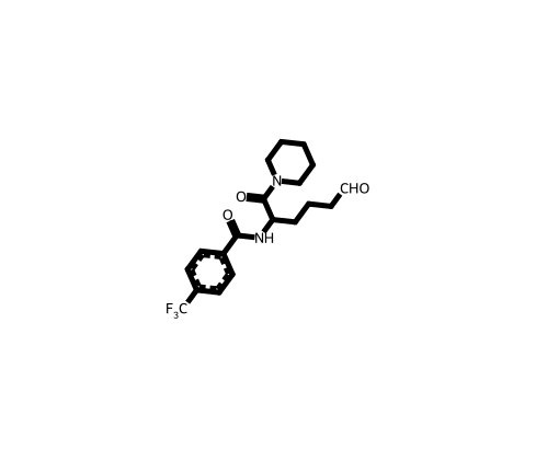 O=CCCCC(NC(=O)c1ccc(C(F)(F)F)cc1)C(=O)N1CCCCC1